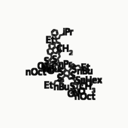 C=CCCCCC(C)(c1sc(-c2ccc3ccc4c(C(CC)(CCCC(C)C)c5ccccc5)ccc5ccc2c3c54)c2sc3c(c12)C(=O)N(CCCCCCCC)C3=O)C(CCC)(CCCC)c1cc2c(-c3ccc(CC(CC)CCCC)s3)c3sc(-c4sc(C(C)(CCCCCC)c5ccccc5)c5c4SC4C(=O)N(CCCCCCCC)C(=O)C54)cc3c(-c3ccc(CC(CC)CCCC)s3)c2s1